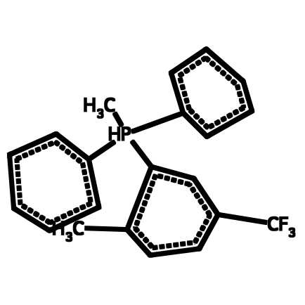 Cc1ccc(C(F)(F)F)cc1[PH](C)(c1ccccc1)c1ccccc1